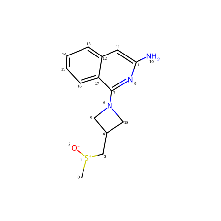 C[S+]([O-])CC1CN(c2nc(N)cc3ccccc23)C1